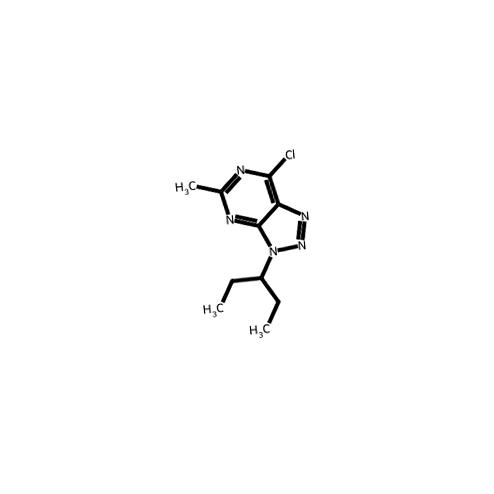 CCC(CC)n1nnc2c(Cl)nc(C)nc21